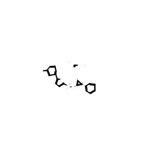 O=C(O)O.O=S(=O)(N[C@H]1C[C@@H]1c1ccccc1)c1ccc(-c2cccc(Cl)c2)s1